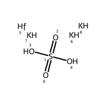 O=S(=O)(O)O.[Hf].[KH].[KH].[KH]